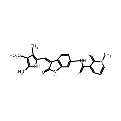 Cc1[nH]c(C=C2C(=O)Nc3cc(NC(=O)c4cccn(C)c4=O)ccc32)c(C)c1C(=O)O